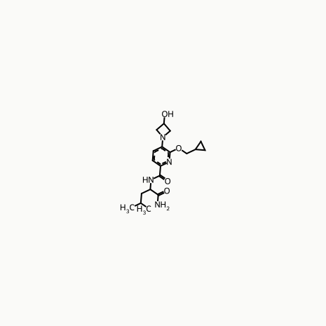 CC(C)CC(NC(=O)c1ccc(N2CC(O)C2)c(OCC2CC2)n1)C(N)=O